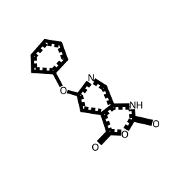 O=c1[nH]c2cnc(Oc3ccccc3)cc2c(=O)o1